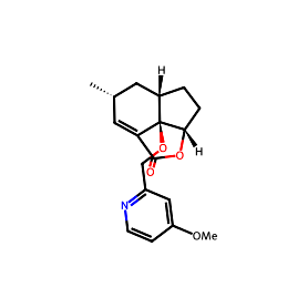 COc1ccnc(CO[C@@]23C4=C[C@H](C)C[C@@H]2CC[C@@H]3OC4=O)c1